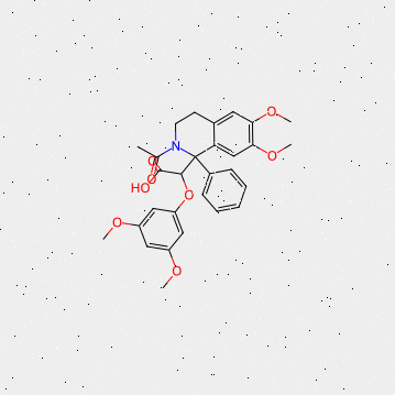 COc1cc(OC)cc(OC(C(=O)O)C2(c3ccccc3)c3cc(OC)c(OC)cc3CCN2C(C)=O)c1